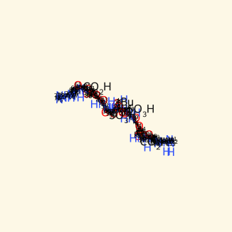 Cc1cc(OCCCC(=O)NCCNC(=O)[C@H](CS(=O)(=O)O)NC(=O)CC[C@H](NC(=O)OC(C)(C)C)C(=O)N[C@@H](CS(=O)(=O)O)C(=O)NCCNC(=O)CCCOc2cc(C)c(S(=O)(=O)N[C@@H](CNC(=O)c3ccc4c(cnn4CCCNc4ncc[nH]4)c3)C(=O)O)c(C)c2)cc(C)c1S(=O)(=O)N[C@@H](CNC(=O)c1ccc2c(cnn2CCCNc2ncc[nH]2)c1)C(=O)O